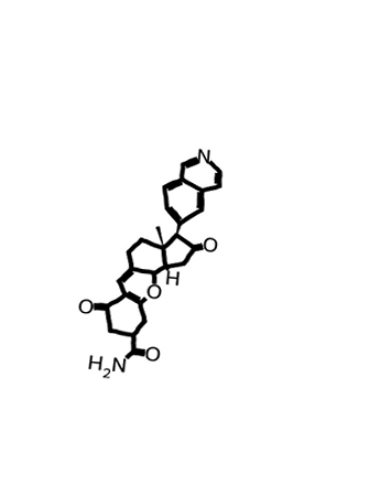 C[C@]12CCC3=CC4=C(CC(C(N)=O)CC4=O)OC3[C@@H]1CC(=O)[C@@H]2c1ccc2cnccc2c1